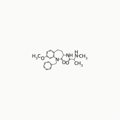 CNC(C)C(=O)NC1CCc2ccc(OC)cc2N(Cc2ccccc2)C1=O